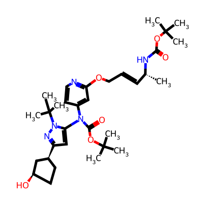 C[C@H](/C=C/COc1cc(N(C(=O)OC(C)(C)C)c2cc([C@H]3CC[C@@H](O)C3)nn2C(C)(C)C)ccn1)NC(=O)OC(C)(C)C